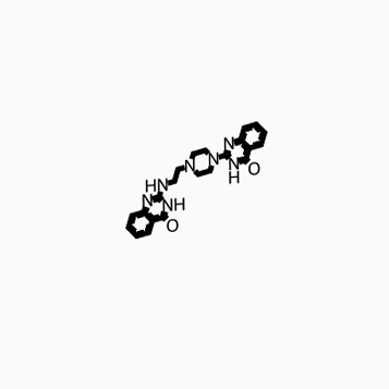 O=c1[nH]c(NCCN2CCN(c3nc4ccccc4c(=O)[nH]3)CC2)nc2ccccc12